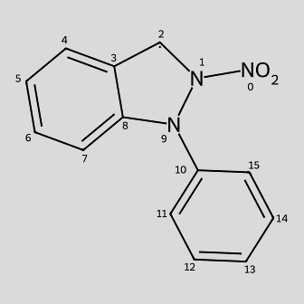 O=[N+]([O-])N1[CH]c2ccccc2N1c1ccccc1